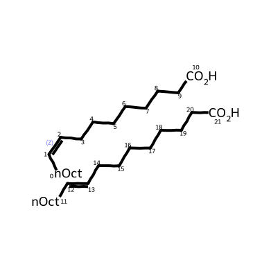 CCCCCCCC/C=C\CCCCCCCC(=O)O.CCCCCCCCC=CCCCCCCCC(=O)O